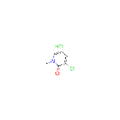 Cl.Cn1cccc(Cl)c1=O